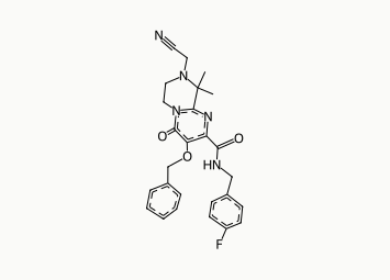 CC1(C)c2nc(C(=O)NCc3ccc(F)cc3)c(OCc3ccccc3)c(=O)n2CCN1CC#N